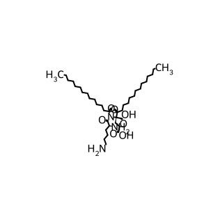 CCCCCCCCCCCCCC(=O)N(C(=O)[C@@H](N)CCCCN)[C@@](CCC(=O)O)(C(=O)O)C(=O)CCCCCCCCCCCCC